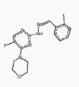 Cc1ccccc1/C=N\Nc1ncc(F)c(N2CCOCC2)n1